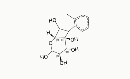 Cc1ccccc1C1C(O)[C@H]2OC(O)[C@H](O)[C@@H](O)[C@@]12O